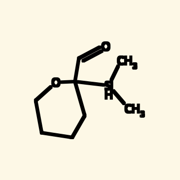 C[SiH](C)C1(C=O)CCCCO1